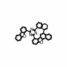 C1=CC(c2cc3c(oc4cccc(-c5nc(-c6ccccc6)nc(-c6cccc7c6oc6ccccc67)n5)c43)c3ccccc23)=CCC1